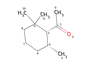 CC(=O)[C@@H]1[C@H](C)CCCC1(C)C